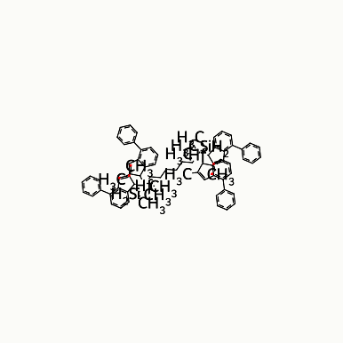 C[SiH2][Hf]([CH3])([CH3])([CH2]CCCC[CH2][Hf]([CH3])([CH3])([SiH2]C)([CH]1C(C)=Cc2c(-c3ccccc3)cccc21)[CH]1C(C)=Cc2c(-c3ccccc3)cccc21)([CH]1C(C)=Cc2c(-c3ccccc3)cccc21)[CH]1C(C)=Cc2c(-c3ccccc3)cccc21